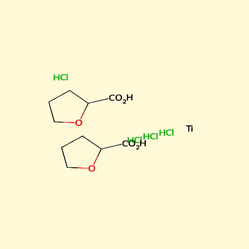 Cl.Cl.Cl.Cl.O=C(O)C1CCCO1.O=C(O)C1CCCO1.[Ti]